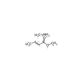 C/C=C/C(=O)OC.CN